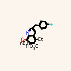 CCCCOc1c(C(=O)O)cc(CC)c2cc(Cc3ccc(F)cc3)cnc12